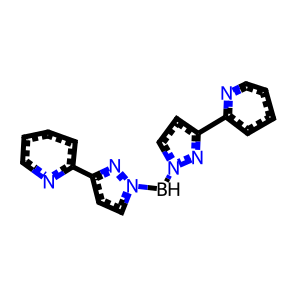 B(n1ccc(-c2ccccn2)n1)n1ccc(-c2ccccn2)n1